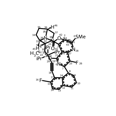 CSc1nc2c3c(nc(-c4cccc5ccc(F)c(C#C[Si](C(C)C)(C(C)C)C(C)C)c45)c(F)c3n1)O[C@H](C)[C@@H]1[C@@H]3CC[C@H](CN21)N3C(=O)OC(C)(C)C